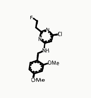 COc1ccc(CNc2cc(Cl)nc(CCF)n2)c(OC)c1